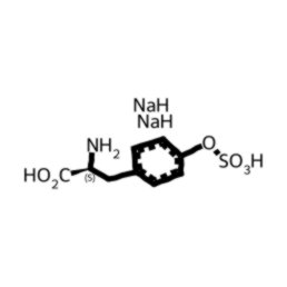 N[C@@H](Cc1ccc(OS(=O)(=O)O)cc1)C(=O)O.[NaH].[NaH]